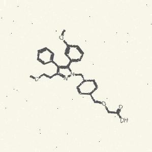 COCCc1nn(C[C@H]2CC[C@@H](COCC(=O)O)CC2)c(-c2cccc(OC)c2)c1-c1ccccc1